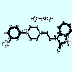 CS(=O)(=O)O.O=c1[nH]c2ccccc2n1CCN1CCN(c2cccc(C(F)(F)F)c2)CC1